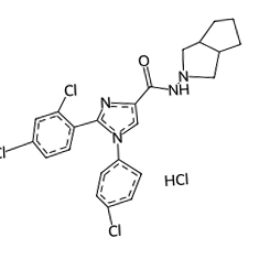 Cl.O=C(NN1CC2CCCC2C1)c1cn(-c2ccc(Cl)cc2)c(-c2ccc(Cl)cc2Cl)n1